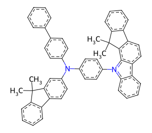 CC1(C)c2ccccc2-c2ccc(N(c3ccc(-c4ccccc4)cc3)c3ccc(-n4c5ccccc5c5ccc6c(c54)C(C)(C)c4ccccc4-6)cc3)cc21